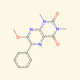 COc1nc2c(nc1-c1ccccc1)c(=O)n(C)c(=O)n2C